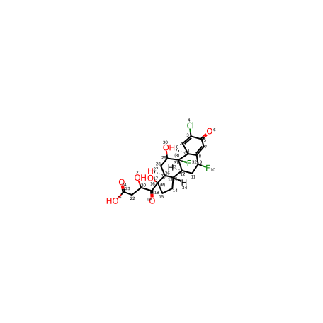 C[C@]12C=C(Cl)C(=O)C=C1C(F)C[C@H]1[C@@H]3CC[C@](O)(C(=O)C(O)CC(=O)O)[C@@]3(C)CC(O)[C@@]12F